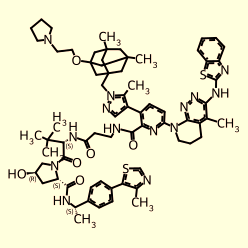 Cc1ncsc1-c1ccc([C@H](C)NC(=O)[C@@H]2C[C@@H](O)CN2C(=O)[C@@H](NC(=O)CCNC(=O)c2nc(N3CCCc4c3nnc(Nc3nc5ccccc5s3)c4C)ccc2-c2cnn(CC34CC5(C)CC(C)(C3)CC(OCCN3CCCC3)(C5)C4)c2C)C(C)(C)C)cc1